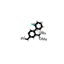 CO[C@@H](c1cc(CC(C)C)ccc1-c1ccccc1F)C(C)(C)C